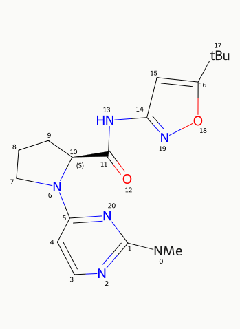 CNc1nccc(N2CCC[C@H]2C(=O)Nc2cc(C(C)(C)C)on2)n1